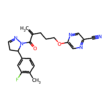 C=C(CCCOc1cnc(C#N)cn1)C(=O)N1N=CCC1c1ccc(C)c(F)c1